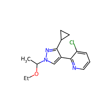 CCOC(C)n1cc(-c2ncccc2Cl)c(C2CC2)n1